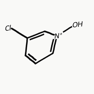 O[n+]1cccc(Cl)c1